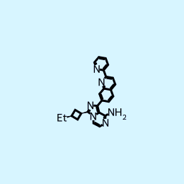 CC[C@H]1C[C@@H](c2nc(-c3ccc4ccc(-c5ccccn5)nc4c3)c3c(N)nccn32)C1